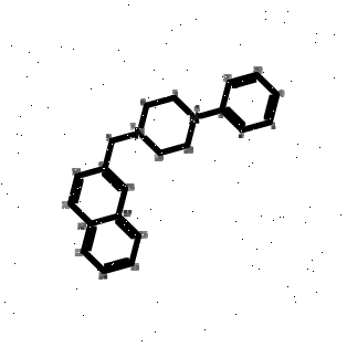 c1ccc(N2CCN(Cc3ccc4ccccc4c3)CC2)cc1